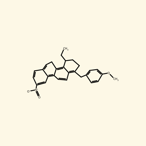 CCC1CCC(Cc2ccc(OC)cc2)=c2ccc3c(c21)CC=c1ccc([N+](=O)[O-])cc1=3